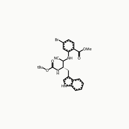 COC(=O)c1ccc(Br)cc1NC(C#N)[C@H](Cc1c[nH]c2ccccc12)NC(=O)OC(C)(C)C